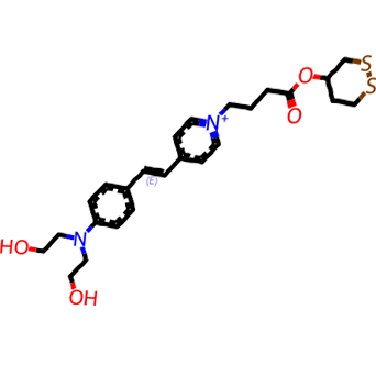 O=C(CCC[n+]1ccc(/C=C/c2ccc(N(CCO)CCO)cc2)cc1)OC1CCSSC1